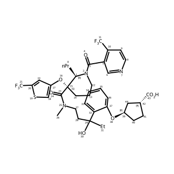 CCC[C@H]1N(C(=O)c2cnccc2C(F)(F)F)CCC[C@@]1(Oc1csc(C(F)(F)F)c1)C(=O)N(C)CCC(O)(CC)c1ccccc1O[C@@H]1CC[C@@H](C(=O)O)C1